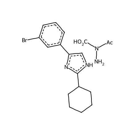 Brc1cccc(-c2c[nH]c(C3CCCCC3)n2)c1.CC(=O)N(N)C(=O)O